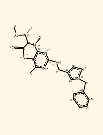 CO[C@H](C)C1C(=O)Nc2c(C)nc(NCc3cnn(Cc4ccccc4)c3)nc2N1C